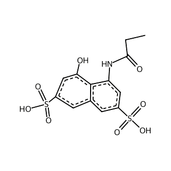 CCC(=O)Nc1cc(S(=O)(=O)O)cc2cc(S(=O)(=O)O)cc(O)c12